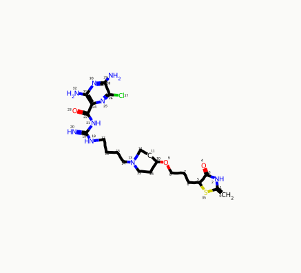 C=C1NC(=O)C(CCCOC2CCN(CCCCNC(=N)NC(=O)c3nc(Cl)c(N)nc3N)CC2)S1